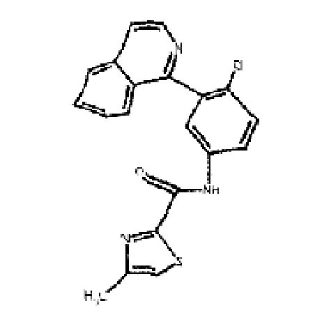 Cc1csc(C(=O)Nc2ccc(Cl)c(-c3nccc4ccccc34)c2)n1